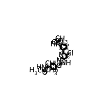 CC(=O)NC(C)(C)c1ccc(Oc2nc3nc(-c4cccc(NS(C)(=O)=O)c4)c(Cl)cc3[nH]2)cc1